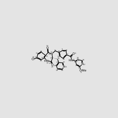 COc1cc(NC(=O)c2ccc(CN3C(=O)c4ccc(Cl)cc4NC(=O)[C@H]3Cc3cccnc3)cc2)ncn1